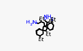 CCC(CN)CCC1(C(CC)C2(CCC(CC)CN)CCCC(CC)C2)CCCC(CC)C1